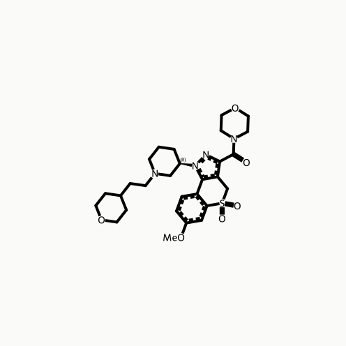 COc1ccc2c(c1)S(=O)(=O)Cc1c(C(=O)N3CCOCC3)nn([C@@H]3CCCN(CCC4CCOCC4)C3)c1-2